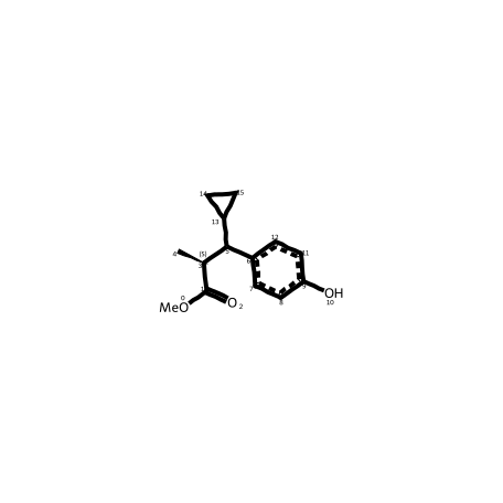 COC(=O)[C@@H](C)C(c1ccc(O)cc1)C1CC1